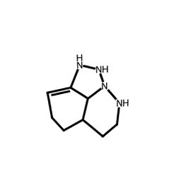 C1=C2NNN3NCCC(CC1)C23